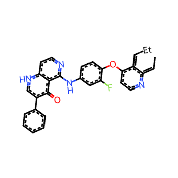 C/C=c1/nccc(Oc2ccc(Nc3nccc4[nH]cc(-c5ccccc5)c(=O)c34)cc2F)/c1=C/CC